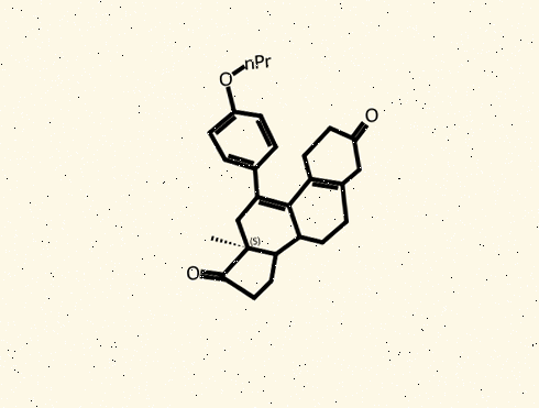 CCCOc1ccc(C2=C3C4=C(CCC3C3CCC(=O)[C@@]3(C)C2)CC(=O)CC4)cc1